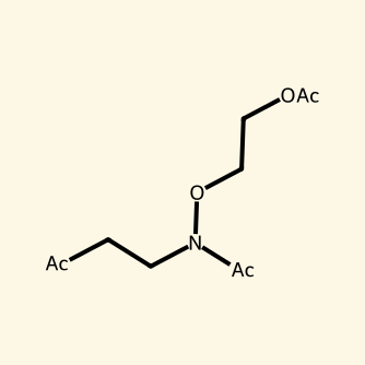 CC(=O)CCN(OCCOC(C)=O)C(C)=O